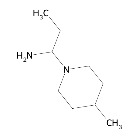 CCC(N)N1CCC(C)CC1